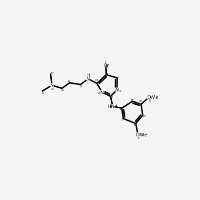 COc1cc(Nc2ncc(Br)c(NCCCN(C)C)n2)cc(OC)c1